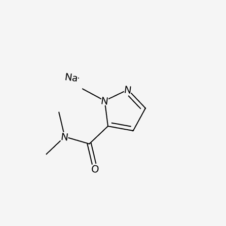 CN(C)C(=O)c1ccnn1C.[Na]